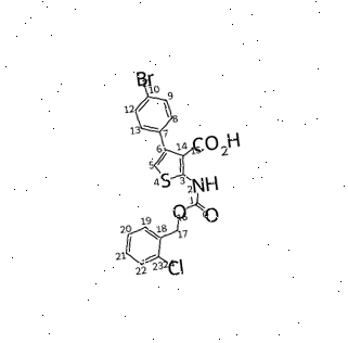 O=C(Nc1scc(-c2ccc(Br)cc2)c1C(=O)O)OCc1ccccc1Cl